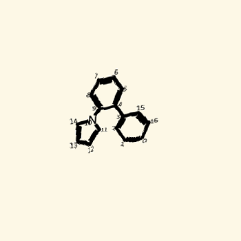 c1ccc(-c2ccccc2-n2cccc2)cc1